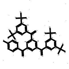 C=C(c1ccc(C)cc1)c1cc(C(=C)c2cc(C(C)(C)C)cc(C(C)(C)C)c2)cc(C(=C)c2cc(C(C)(C)C)cc(C(C)(C)C)c2)c1